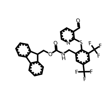 O=Cc1cccnc1Sc1c(CNC(=O)OCC2c3ccccc3-c3ccccc32)cc(C(F)(F)F)cc1C(F)(F)F